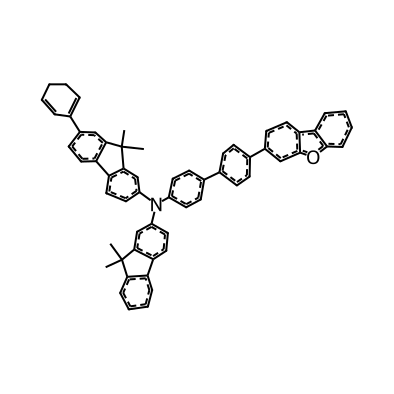 CC1(C)c2ccccc2-c2ccc(N(c3ccc(-c4ccc(-c5ccc6c(c5)oc5ccccc56)cc4)cc3)c3ccc4c(c3)C(C)(C)c3cc(C5=CCCC=C5)ccc3-4)cc21